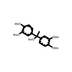 COc1ccc(C(C)(OC)c2ccc(OC)c(OC)c2)cc1OC